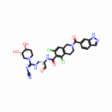 N#C/N=C(\NC[C@@H](C=O)NC(=O)c1c(Cl)cc2c(c1Cl)CCN(C(=O)c1ccc3cn[nH]c3c1)C2)N1CC[C@H](O)[C@@H](O)C1